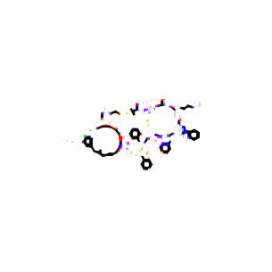 COc1cc2cc(c1Cl)N(C)C(=O)C[C@H](OC(=O)[C@H](C)N(C)C(=O)CCSSC(C)(C)[C@H](NC(=O)[C@@H]1CSSC[C@H](NC(=O)[C@@H](Cc3ccccc3)NS(=O)(=O)Cc3ccc(C(F)(F)F)cc3)C(=O)N[C@@H](Cc3ccc(O)cc3)C(=O)N[C@H](Cc3c[nH]c4ccccc34)C(=O)N[C@@H](CCCCN)C(=O)N[C@@H]([C@@H](C)O)C(=O)N1)C(N)=O)[C@]1(C)O[C@H]1[C@H](C)[C@@H]1C[C@@](O)(NC(=O)O1)[C@H](OC)/C=C/C=C(\C)C2